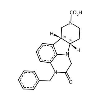 O=C(O)N1CC[C@H]2[C@@H](C1)c1cccc3c1N2CC(=O)N3Cc1ccccc1